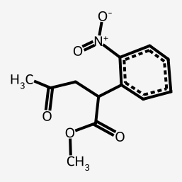 COC(=O)C(CC(C)=O)c1ccccc1[N+](=O)[O-]